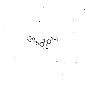 Cc1cc(OCCOC2CCCCO2)ccc1C(=O)c1ccc([N+](=O)[O-])cc1Cl